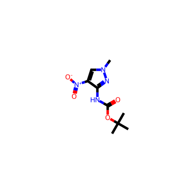 Cn1cc([N+](=O)[O-])c(NC(=O)OC(C)(C)C)n1